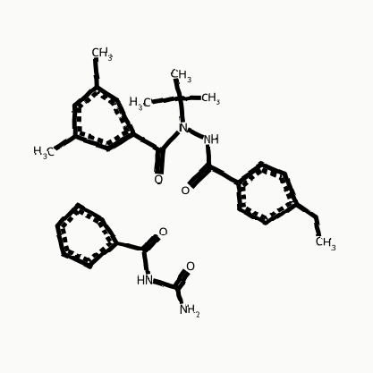 CCc1ccc(C(=O)NN(C(=O)c2cc(C)cc(C)c2)C(C)(C)C)cc1.NC(=O)NC(=O)c1ccccc1